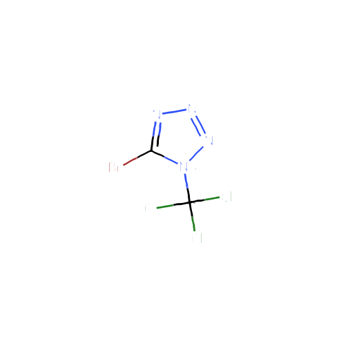 ClC(Cl)(Cl)n1nnnc1Br